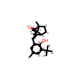 Cc1cc(C=C2C(=O)C3(C)CCC2C3(C)C)c(O)c(C(C)(C)C)c1